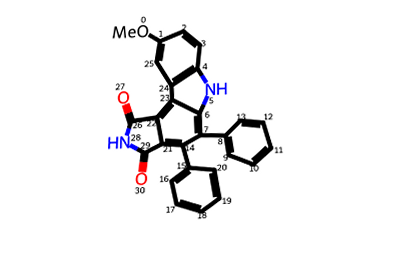 COc1ccc2[nH]c3c(-c4ccccc4)c(-c4ccccc4)c4c(c3c2c1)C(=O)NC4=O